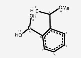 COC(C)c1ccccc1B(O)O